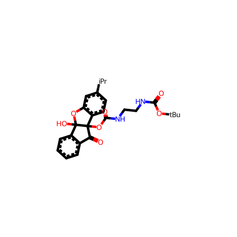 CC(C)c1ccc2c(c1)OC1(O)c3ccccc3C(=O)C21OC(=O)NCCNC(=O)OC(C)(C)C